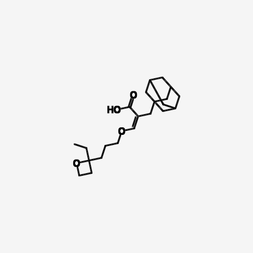 CCC1(CCCOC=C(CC23CC4CC(CC(C4)C2)C3)C(=O)O)CCO1